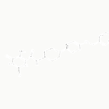 Nc1c(C(=O)NC2CCC(c3ccc(OCc4ccccc4)cc3)CC2)[nH]c(=O)[nH]c1=O